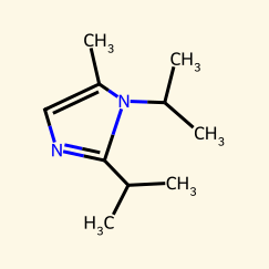 Cc1cnc(C(C)C)n1C(C)C